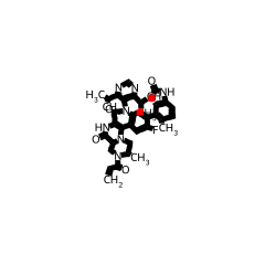 C=CC(=O)N1CC2C(=O)Nc3c(c4cc(F)c(-c5c(C)ccc6[nH]c(=O)oc56)c(F)c4n(-c4c(C(C)C)ncnc4C(C)C)c3=O)N2CC1C